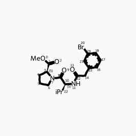 COC(=O)[C@@H]1CCCN1C(=O)[C@@H](NC(=O)Cc1cccc(Br)c1)C(C)C